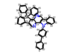 c1ccc(-c2ccc(-n3c4ccccc4c4cnc5c6c(cnc5c43)-c3ccccc3[Si]6(c3ccccc3)c3ccccc3)cc2)cc1